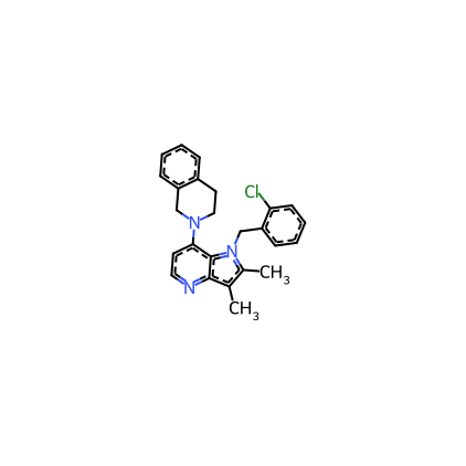 Cc1c(C)n(Cc2ccccc2Cl)c2c(N3CCc4ccccc4C3)ccnc12